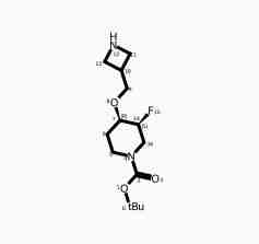 CC(C)(C)OC(=O)N1CC[C@@H](OCC2CNC2)[C@@H](F)C1